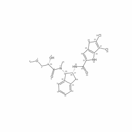 COC[C@H](O)C(=O)N(C)[C@H]1c2ccccc2C[C@H]1NC(=O)c1cc2sc(Cl)c(Cl)c2[nH]1